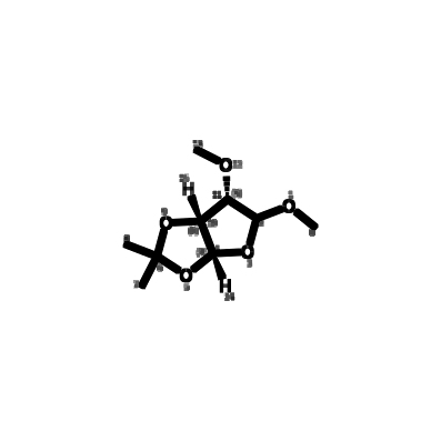 COC1O[C@@H]2OC(C)(C)O[C@@H]2[C@@H]1OC